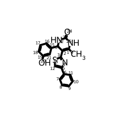 CC1=C(c2nc(-c3ccccc3)cs2)C(c2cccc(O)c2)NC(=O)N1